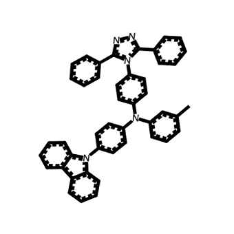 Cc1cccc(N(c2ccc(-n3c(-c4ccccc4)nnc3-c3ccccc3)cc2)c2ccc(-n3c4ccccc4c4ccccc43)cc2)c1